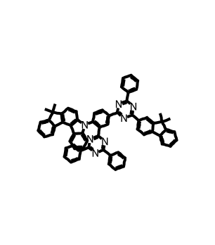 CC1(C)c2ccccc2-c2ccc(-c3nc(-c4ccccc4)nc(-c4ccc(-n5c6ccccc6c6c7c(ccc65)C(C)(C)c5ccccc5-7)c(-c5nc(-c6ccccc6)nc(-c6ccccc6)n5)c4)n3)cc21